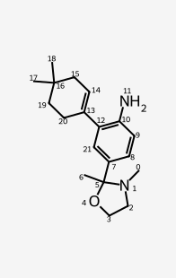 CN1CCOC1(C)c1ccc(N)c(C2=CCC(C)(C)CC2)c1